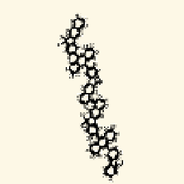 CC1(C)c2ccc(-c3c4ccccc4c(-c4ccc5oc6cc7c(-c8cccc9cc%10c(cc89)C(C)(C)c8ccc(-c9c%11ccccc%11c(-c%11ccc%12oc%13ccccc%13c%12c%11)c%11ccccc9%11)cc8-%10)cccc7cc6c5c4)c4ccccc34)cc2-c2cc3ccccc3cc21